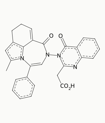 Cc1cc2c3n1C(c1ccccc1)=CN(n1c(CC(=O)O)nc4ccccc4c1=O)C(=O)C3=CCC2